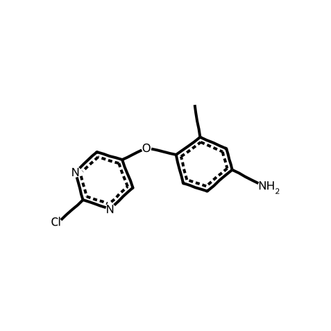 Cc1cc(N)ccc1Oc1cnc(Cl)nc1